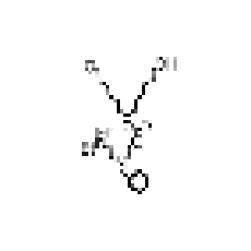 CCN(CC)CCN(CCOC(=O)OC(CCCCCCO)CCCCCCO)Cc1ccccc1